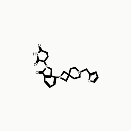 O=C1CCC(N2Cc3c(cccc3N3CC4(CCN(Cc5ccco5)CC4)C3)C2=O)C(=O)N1